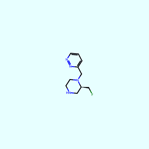 FC[C@H]1CNCCN1Cc1cccnn1